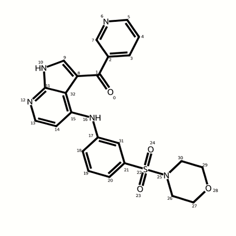 O=C(c1cccnc1)c1c[nH]c2nccc(Nc3cccc(S(=O)(=O)N4CCOCC4)c3)c12